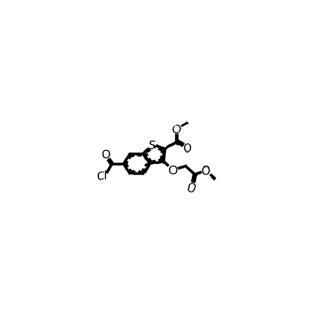 COC(=O)COc1c(C(=O)OC)sc2cc(C(=O)Cl)ccc12